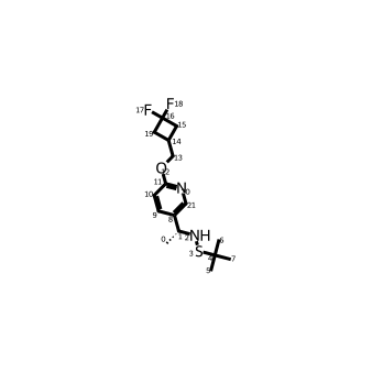 C[C@@H](NSC(C)(C)C)c1ccc(OCC2CC(F)(F)C2)nc1